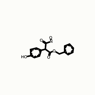 O=NC(=O)C(C(=O)OCc1ccccc1)c1ccc(O)cc1